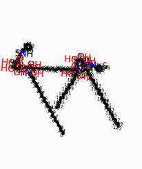 CCCCCCCCCCCCCCCCCCCCCCCCCCNC(CO[C@H]1O[C@H](COC(=S)NCc2ccccc2)[C@H](O)[C@H](O)[C@H]1O)C(O)C(O)CCCCCCCCCCCCCCC(O[C@H]1O[C@H](COC(=S)Nc2cccc(SC)c2)[C@H](O)[C@H](O)[C@H]1O)[C@@H](NCCCCCCCCCCCCCCCCCCCCCCCCCC)[C@H](O)[C@H](O)CCCCCCCCCCCCCC